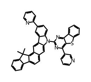 CC1(C)c2ccccc2-c2ccc3cc4c(cc3c21)c1cc(-c2ccccn2)ccc1n4-c1nc(-c2cccnc2)c2sc3ccccc3c2n1